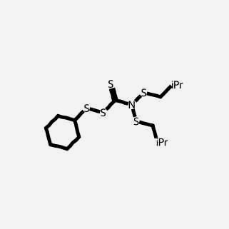 CC(C)CSN(SCC(C)C)C(=S)SSC1CCCCC1